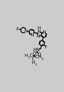 CC(C)(C)OC(=O)NCc1ccc(-c2ccnc3[nH]c(-c4ccc(N5CCC(F)CC5)cn4)nc23)cc1F